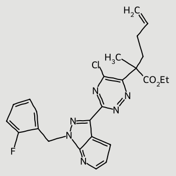 C=CCCC(C)(C(=O)OCC)c1nnc(-c2nn(Cc3ccccc3F)c3ncccc23)nc1Cl